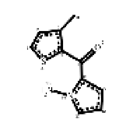 Cc1ccsc1C(=O)c1cccn1N